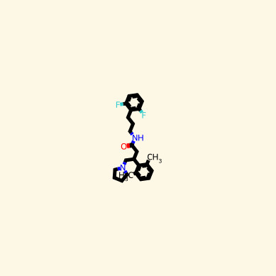 Cc1cccc(C)c1C(CC(=O)NCCCc1c(F)cccc1F)CN1CCCC1